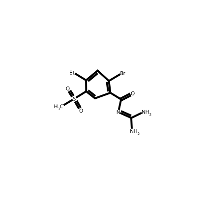 CCc1cc(Br)c(C(=O)N=C(N)N)cc1S(C)(=O)=O